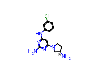 Nc1nc(Nc2cccc(Cl)c2)cc(N2CC[C@@H](N)C2)n1